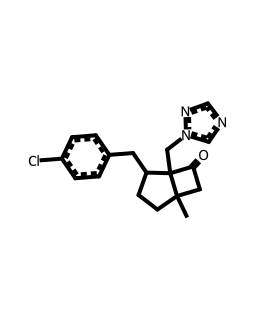 CC12CCC(Cc3ccc(Cl)cc3)C1(Cn1cncn1)C(=O)C2